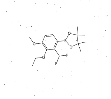 CCOc1c(OC)ccc(B2OC(C)(C)C(C)(C)O2)c1C(F)F